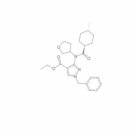 CCOC(=O)c1cn(Cc2ccccc2)nc1N(C(=O)[C@H]1CC[C@H](C)CC1)C1CCOC1